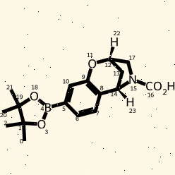 CC1(C)OB(c2ccc3c(c2)O[C@H]2C[C@@H]3N(C(=O)O)C2)OC1(C)C